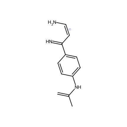 C=C(C)Nc1ccc(C(=N)/C=C\N)cc1